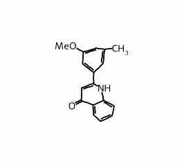 COc1cc(C)cc(-c2cc(=O)c3ccccc3[nH]2)c1